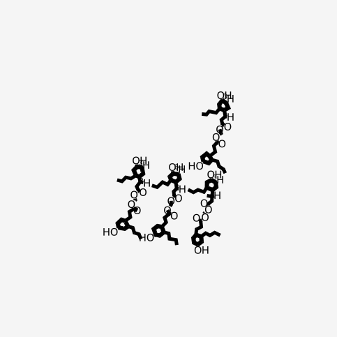 [3H]c1cc(C([3H])(C)CC(=O)OCOC(=O)CCc2ccc(O)cc2CCCC)c(CCCC)cc1O.[3H]c1cc(C([3H])CC(=O)OCOC(=O)CCc2ccc(O)cc2CCCC)c(CCCC)cc1O.[3H]c1cc(C([3H])CC(=O)OCOC(=O)CCc2ccc(O)cc2CCCC)c(CCCC)cc1O.[3H]c1cc(C([3H])CC(=O)OCOC(=O)CCc2ccc(O)cc2CCCC)c(CCCC)cc1O